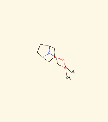 CCOC1CC2CCC(C1)N2CCOC